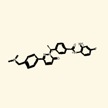 C[C@@H](c1ccc(C(=O)Nc2ccc(F)cc2N)cc1)n1nc(-c2ccc(CN(C)C)cc2)ccc1=O